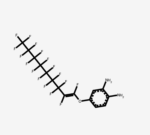 Nc1ccc(OC(F)=C(F)C(F)(F)C(F)(F)C(F)(F)C(F)(F)C(F)(F)C(F)(F)C(F)(F)F)cc1N